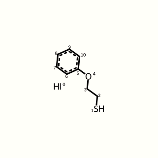 I.SCCOc1ccccc1